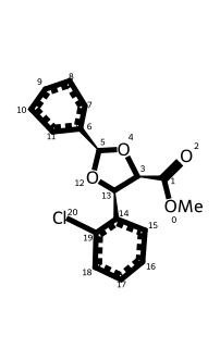 COC(=O)[C@@H]1O[C@H](c2ccccc2)O[C@@H]1c1ccccc1Cl